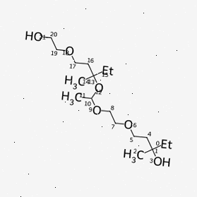 CCC(C)(O)CCOCCOC(C)OC(C)(CC)CCOCCO